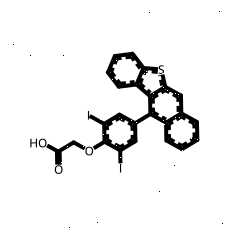 O=C(O)COc1c(I)cc(-c2c3ccccc3cc3sc4ccccc4c23)cc1I